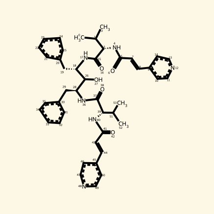 CC(C)[C@H](NC(=O)C=Cc1ccncc1)C(=O)N[C@@H](Cc1ccccc1)C(O)[C@H](Cc1ccccc1)NC(=O)[C@@H](NC(=O)C=Cc1ccncc1)C(C)C